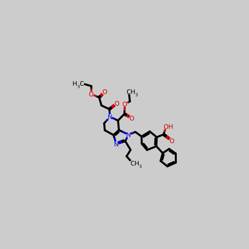 CCCc1nc2c(n1Cc1ccc(-c3ccccc3)c(C(=O)O)c1)C(C(=O)OCC)N(C(=O)CC(=O)OCC)CC2